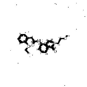 CCOc1ccccc1CC(=O)Nc1cccc2c(=O)n(CCOC)ccc12